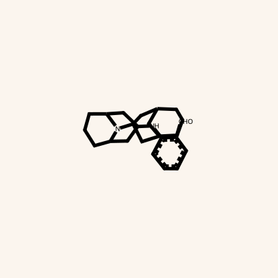 O=Cc1ccccc1NC1CC2CCCC(C1)N2C1CC2CCCC(C2)C1